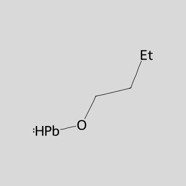 CCCC[O][PbH]